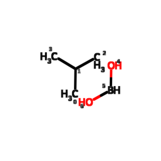 CC(C)C.OBO